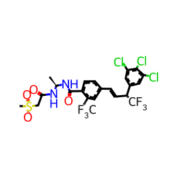 C[C@H](NC(=O)CS(C)(=O)=O)NC(=O)c1ccc(C=CC(c2cc(Cl)c(Cl)c(Cl)c2)C(F)(F)F)cc1C(F)(F)F